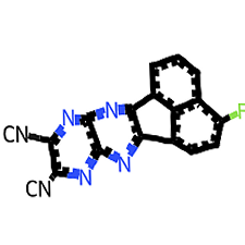 [C-]#[N+]c1nc2nc3c(nc2nc1[N+]#[C-])-c1ccc(F)c2cccc-3c12